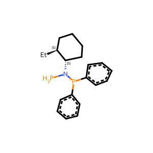 CC[C@H]1CCCC[C@@H]1N(P)P(c1ccccc1)c1ccccc1